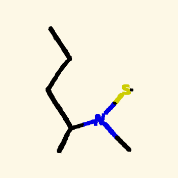 CCCC(C)N(C)[S]